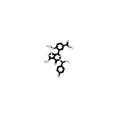 COc1ccc(C(N)=O)cc1-c1nn(C(C)c2ccc(Cl)cc2)c(=O)c2c(C)noc12